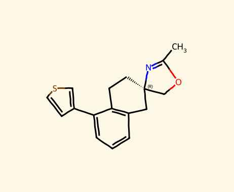 CC1=N[C@@]2(CCc3c(cccc3-c3ccsc3)C2)CO1